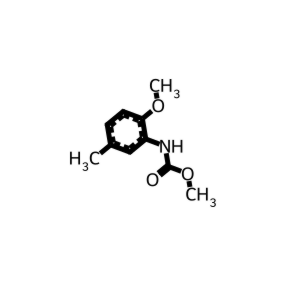 COC(=O)Nc1cc(C)ccc1OC